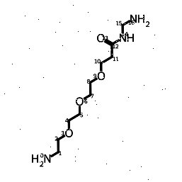 NCCOCCOCCOCCC(=O)NCN